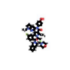 Cc1c(C(=O)N(c2ccc(O)cc2)c2cnc3c(ccn3C)c2)cc(-c2cc(F)ccc2C(=O)N2Cc3ccccc3C[C@H]2CN2CCOCC2)n1CCF